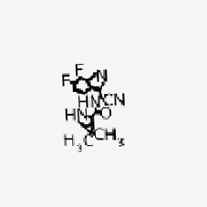 CC1(C)C2CNC(C(=O)NC(C#N)c3cncc4c(F)c(F)ccc34)C21